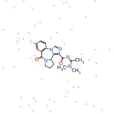 C/C(=N/C(=O)c1ncn2c1C1CCCN1C(=O)c1cc(F)ccc1-2)N(C)C